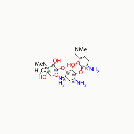 CNCC1=CC[C@@H](N)[C@@H](O[C@H]2C(O)[C@@H](O[C@H]3OC[C@](C)(O)[C@H](NC)[C@H]3O)[C@H](N)C[C@@H]2N)O1